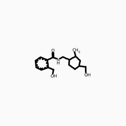 CC1CC(CO)CCC1CNC(=O)c1ccccc1CO